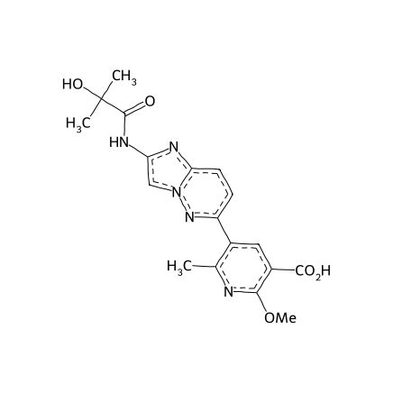 COc1nc(C)c(-c2ccc3nc(NC(=O)C(C)(C)O)cn3n2)cc1C(=O)O